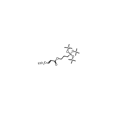 CCOC(=O)/C=C/C(=O)OCCC[Si](O[Si](C)(C)C)(O[Si](C)(C)C)O[Si](C)(C)C